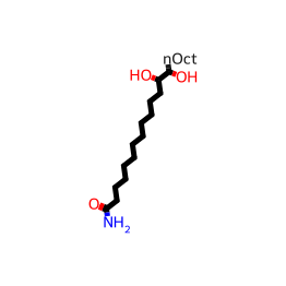 CCCCCCCCC(O)C(O)CCCCCCCCCCCC(N)=O